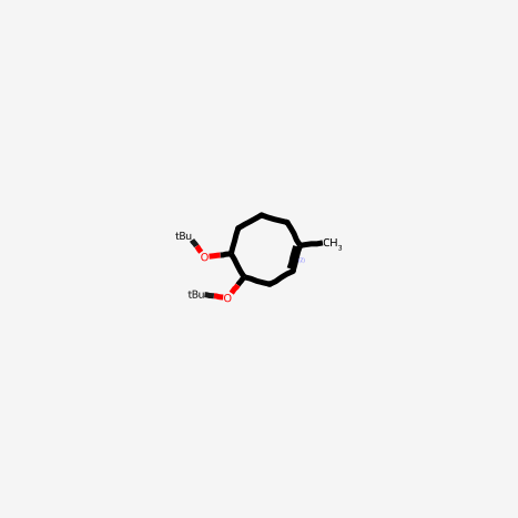 C/C1=C/CC(OC(C)(C)C)C(OC(C)(C)C)CCC1